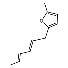 C/C=C/C=C/Cc1ccc(C)o1